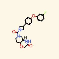 O=C1COC2CCN(C(=O)N3CC(c4ccc(Oc5cccc(F)c5)cc4)C3)C[C@H]2N1